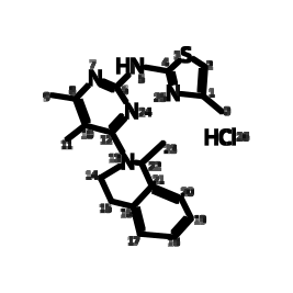 Cc1csc(Nc2nc(C)c(C)c(N3CCc4ccccc4C3C)n2)n1.Cl